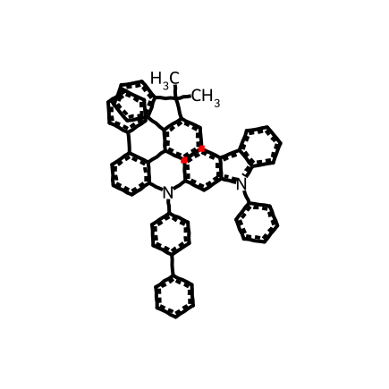 CC1(C)c2ccccc2-c2c(-c3c(-c4ccccc4)cccc3N(c3ccc(-c4ccccc4)cc3)c3ccc4c5ccccc5n(-c5ccccc5)c4c3)cccc21